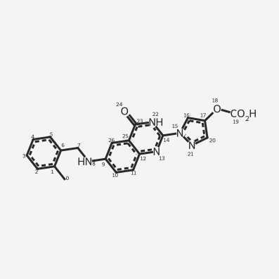 Cc1ccccc1CNc1ccc2nc(-n3cc(OC(=O)O)cn3)[nH]c(=O)c2c1